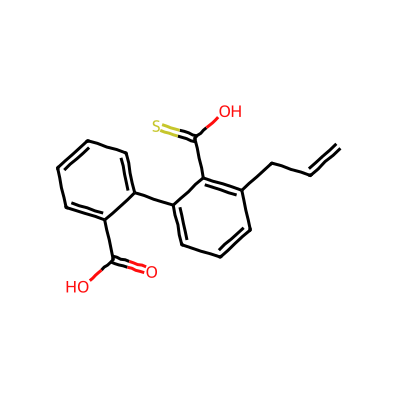 C=CCc1cccc(-c2ccccc2C(=O)O)c1C(O)=S